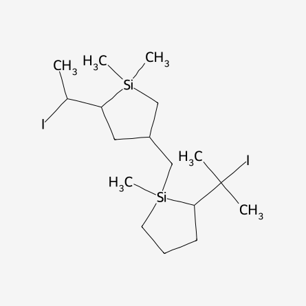 CC(I)C1CC(C[Si]2(C)CCCC2C(C)(C)I)C[Si]1(C)C